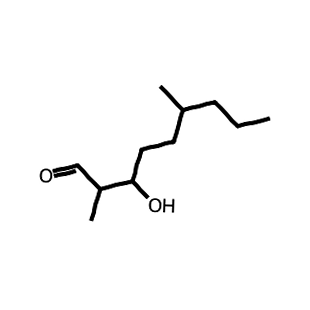 CCCC(C)CCC(O)C(C)C=O